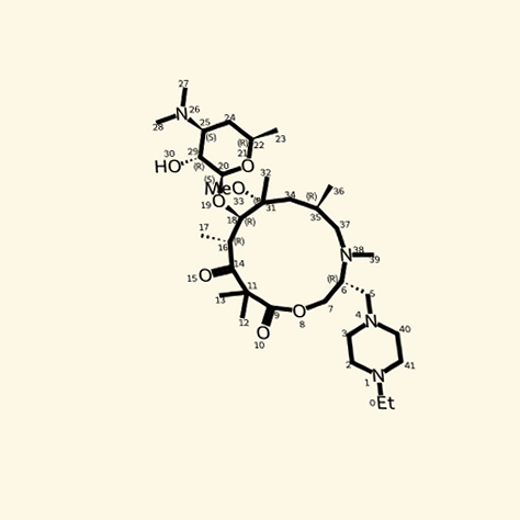 CCN1CCN(C[C@@H]2COC(=O)C(C)(C)C(=O)[C@H](C)[C@@H](O[C@@H]3O[C@H](C)C[C@H](N(C)C)[C@H]3O)[C@](C)(OC)C[C@@H](C)CN2C)CC1